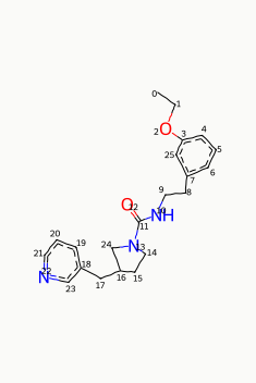 CCOc1cccc(CCNC(=O)N2CCC(Cc3cccnc3)C2)c1